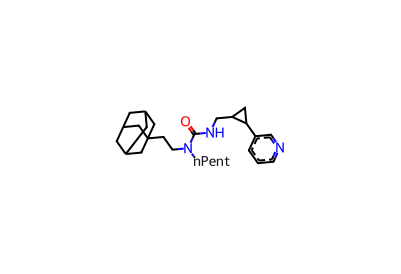 CCCCCN(CCC12CC3CC(CC(C3)C1)C2)C(=O)NCC1CC1c1cccnc1